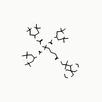 CC1(C)CC(OC(=O)OC(CCCC(=O)OCC(C)(C)C2OCOCC23COCOC3)(OC(=O)OC2CC(C)(C)NC(C)(C)C2)OC(=O)OC2CC(C)(C)NC(C)(C)C2)CC(C)(C)N1